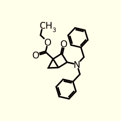 CCOC(=O)C12CC1C(N(Cc1ccccc1)Cc1ccccc1)C2=O